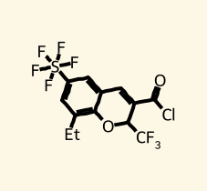 CCc1cc(S(F)(F)(F)(F)F)cc2c1OC(C(F)(F)F)C(C(=O)Cl)=C2